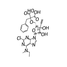 C#C[C@@]1(O)[C@@H](COC(Cc2ccccc2)(C(=O)O)C(=O)O)O[C@@H](n2cnc3c(N(C)CC)nc(Cl)nc32)[C@@H]1O